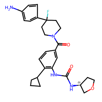 Nc1ccc(C2(F)CCN(C(=O)c3ccc(C4CCC4)c(NC(=O)N[C@H]4CCOC4)c3)CC2)cc1